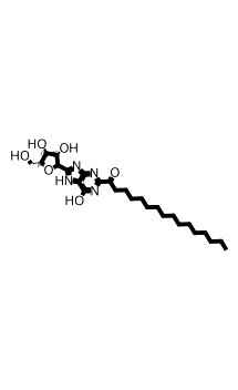 CCCCCCCCCCCCCCCC(=O)c1nc(O)c2[nH]c(C3O[C@H](CO)[C@@H](O)[C@@H]3O)nc2n1